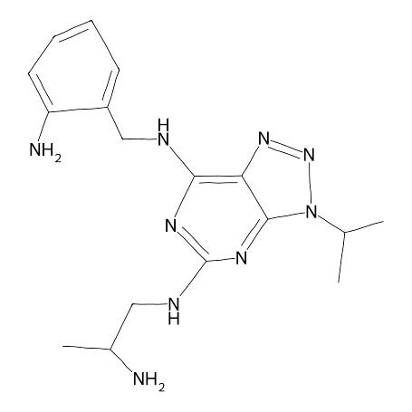 CC(N)CNc1nc(NCc2ccccc2N)c2nnn(C(C)C)c2n1